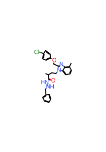 Cc1cccc2c1nc(COc1ccc(Cl)cc1)n2CCC(C)C(=O)NNCc1ccccc1